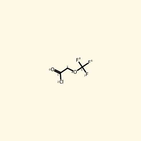 O=C(Cl)COC(F)(F)F